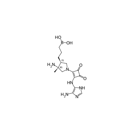 C[C@]1(N)CN(c2c(Nc3[nH]cnc3N)c(=O)c2=O)C[C@@H]1CCCB(O)O